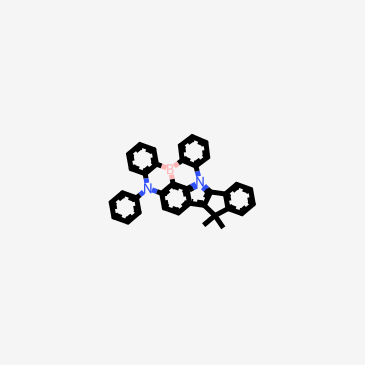 CC1(C)c2ccccc2-c2c1c1ccc3c4c1n2-c1ccccc1B4c1ccccc1N3c1ccccc1